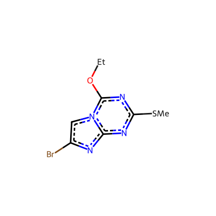 CCOc1nc(SC)nc2nc(Br)cn12